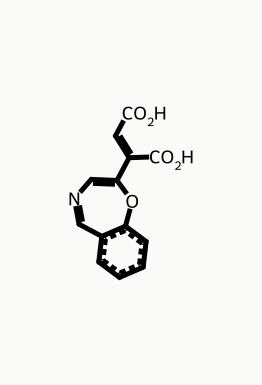 O=C(O)/C=C(\C(=O)O)C1=CN=Cc2ccccc2O1